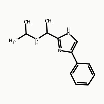 CC(C)NC(C)c1nc(-c2ccccc2)c[nH]1